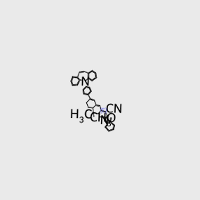 CC1(C)C/C(=C(/C#N)c2nc3ccccc3o2)C=C2C=C(c3ccc(N4c5ccccc5C=Cc5ccccc54)cc3)CCC21